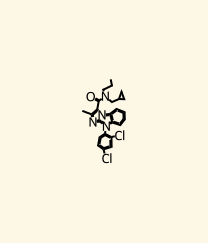 CCCN(CC1CC1)C(=O)c1c(C)nc2n(-c3ccc(Cl)cc3Cl)c3ccccc3n12